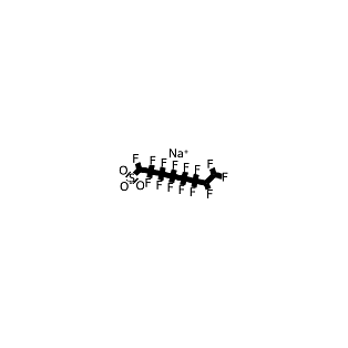 O=S(=O)([O-])C(F)C(F)(F)C(F)(F)C(F)(F)C(F)(F)C(F)(F)C(F)C(F)F.[Na+]